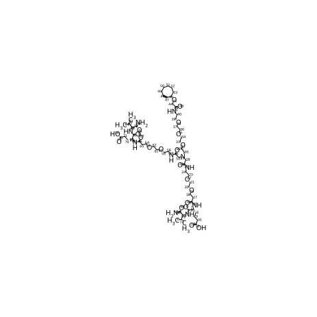 CC(C)[C@H](NC(=O)[C@@H](CCCC(=O)O)NC(=O)CCOCCOCCNC(=O)CN(CCOCCOCCOCCNC(=O)COC1C#CCCCCC1)CC(=O)NCCOCCOCCC(=O)N[C@H](CCC(=O)O)C(=O)N[C@H](C(N)=O)C(C)C)C(N)=O